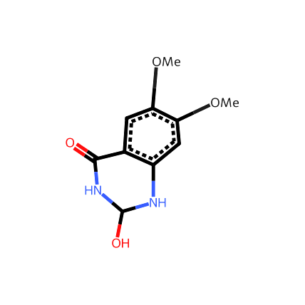 COc1cc2c(cc1OC)C(=O)NC(O)N2